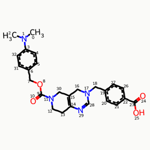 CN(C)c1ccc(COC(=O)N2CCC3=C(CN(Cc4ccc(C(=O)O)cc4)C=N3)C2)cc1